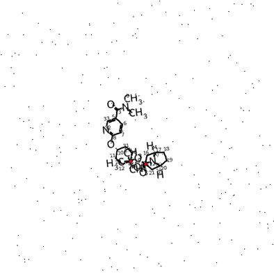 CN(C)C(=O)c1ccc(O[C@H]2CC[C@H](O[C@@H]3C[C@H]4CC[C@@H](C3)N4C(=O)OC(C)(C)C)CC2)nc1